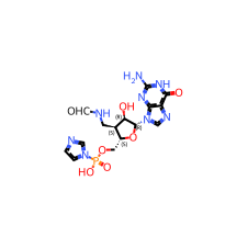 Nc1nc2c(ncn2[C@@H]2O[C@H](COP(=O)(O)n3ccnc3)[C@@H](CNC=O)[C@H]2O)c(=O)[nH]1